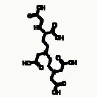 O=C(O)CNC(CCN(CCN(CC(=O)O)CC(=O)O)CC(=O)O)C(=O)O